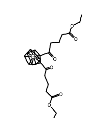 CCOC(=O)CCCC(=O)[C]12[CH]3[CH]4[CH]5[C]1(C(=O)CCCC(=O)OCC)[Fe]43521678[CH]2[CH]1[CH]6[CH]7[CH]28